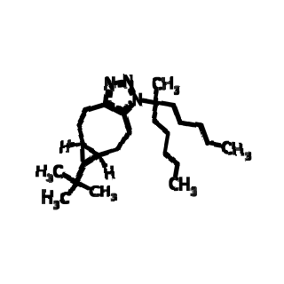 CCCCCC(C)(CCCCC)n1nnc2c1CC[C@@H]1C(C(C)(C)C)[C@@H]1CC2